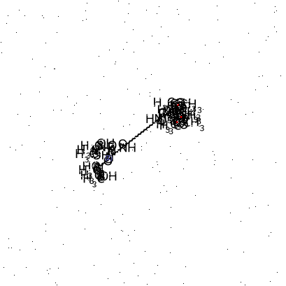 CB(O)N(C)CCCN(CCCCCO/B=N\CC(CCCCCCNC(=O)CCCCCCCCCCCCCCCCCCCCCCCNC(=O)CCC(=O)N(CCNC(=O)[C@@H](OC(C)=O)[C@@H](OC(C)=O)[C@@H](OC(C)=O)[C@@H](COC(C)=O)OC(C)=O)CCNC(=O)[C@H](OC(C)=O)[C@@H](OC(C)=O)[C@H](OC(C)=O)[C@H](COC(C)=O)OC(C)=O)CN=C(B=O)CCCCN(CCCN(C)B(C)O)B(C)O)B(C)O